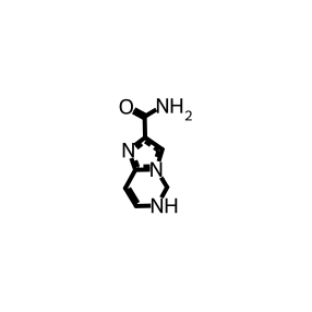 NC(=O)c1cn2c(n1)C=CNC2